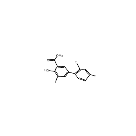 COC(=O)c1cc(-c2ccc(F)cc2F)cc(I)c1O